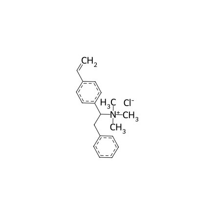 C=Cc1ccc(C(Cc2ccccc2)[N+](C)(C)C)cc1.[Cl-]